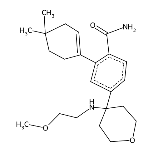 COCCNC1(c2ccc(C(N)=O)c(C3=CCC(C)(C)CC3)c2)CCOCC1